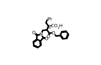 CC(C)C[C@@H](C(=O)O)C(CN1C(=O)c2ccccc2C1=O)C(=O)OCc1ccccc1